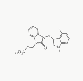 Cc1cccc2c1C(Cn1c(=O)n(CCC(=O)O)c3ccccc31)CN2C